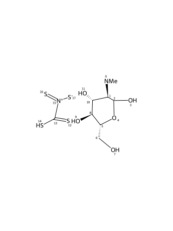 CN[C@H]1C(O)O[C@H](CO)[C@@H](O)[C@@H]1O.S=C(S)[N+](=S)[S-]